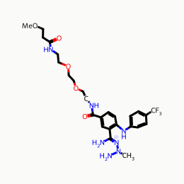 COCCC(=O)NCCOCCOCCNC(=O)c1ccc(Nc2ccc(C(F)(F)F)cc2)c(/C(N)=N/N(C)N)c1